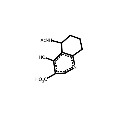 CC(=O)NC1CCCc2ncc(C(=O)O)c(O)c21